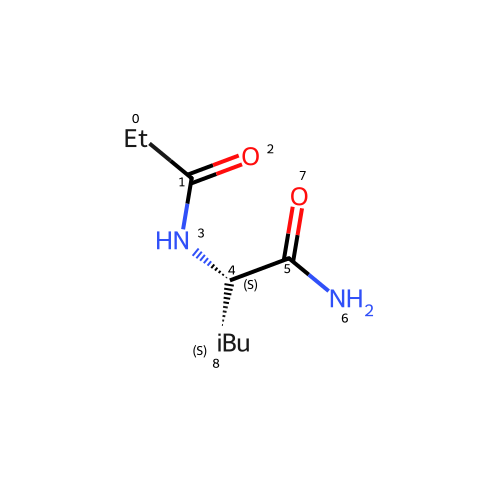 CCC(=O)N[C@H](C(N)=O)[C@@H](C)CC